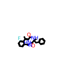 CC(=C1NC(=O)C(C)(Cc2ccccc2)NC1=O)c1c(F)cccc1C#N